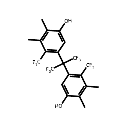 Cc1c(O)cc(C(c2cc(O)c(C)c(C)c2C(F)(F)F)(C(F)(F)F)C(F)(F)F)c(C(F)(F)F)c1C